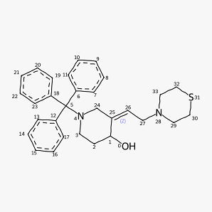 OC1CCN(C(c2ccccc2)(c2ccccc2)c2ccccc2)C/C1=C/CN1CCSCC1